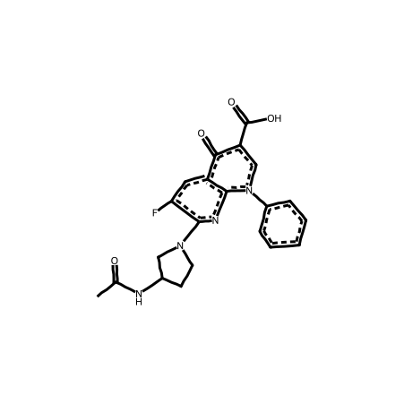 CC(=O)NC1CCN(c2nc3c(cc2F)c(=O)c(C(=O)O)cn3-c2ccccc2)C1